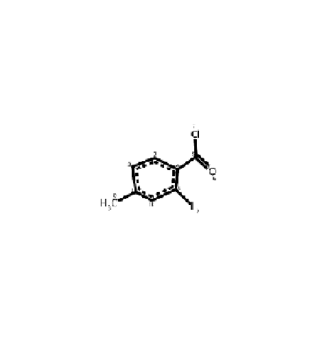 Cc1ccc(C(=O)Cl)c(I)c1